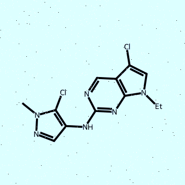 CCn1cc(Cl)c2cnc(Nc3cnn(C)c3Cl)nc21